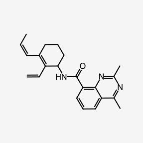 C=CC1=C(/C=C\C)CCCC1NC(=O)c1cccc2c(C)nc(C)nc12